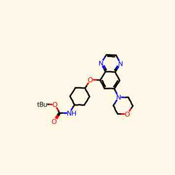 CC(C)(C)OC(=O)NC1CCC(Oc2cc(N3CCOCC3)cc3nccnc23)CC1